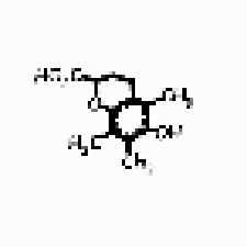 Cc1c(C)c2c(c(C)c1O)CCC(C(=O)O)O2